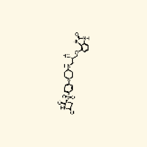 O=C1CN(S(=O)(=O)c2ccc(N3CCC(NC[C@H](O)COc4cccc5[nH]c(=O)[nH]c45)CC3)cc2)C(=O)N1